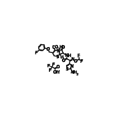 Nc1nc(C(=NOC(F)F)C(=O)NC2C(=O)N3C(C(=O)O)=C(COc4cccc(F)c4)CS[C@@H]23)cs1.O=C(O)C(F)(F)F